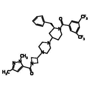 Cc1cc(C(=O)N2CC(N3CCN(C4CCN(C(=O)c5cc(C(F)(F)F)cc(C(F)(F)F)c5)[C@H](Cc5ccccc5)C4)CC3)C2)n(C)n1